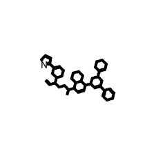 C=CC(CCC(C)C1C=CC(C2C=C(C3=CCCC=C3)CC(C3=CCCCC3)C2)C2CCCCC12)C1CCC=C(C2=NCC=C2)C1